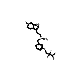 BN(CCc1c[nH]c2cc(F)ccc12)Cc1cccc(OCC(F)(F)C(F)F)c1